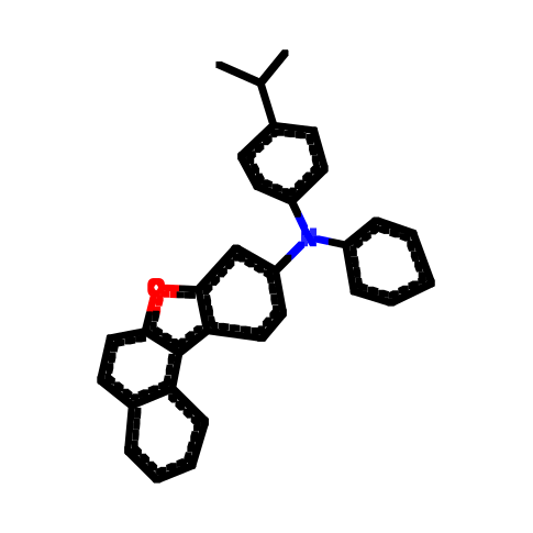 CC(C)c1ccc(N(c2ccccc2)c2ccc3c(c2)oc2ccc4ccccc4c23)cc1